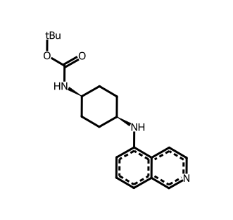 CC(C)(C)OC(=O)N[C@H]1CC[C@@H](Nc2cccc3cnccc23)CC1